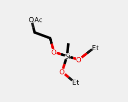 CCO[Si](C)(OCC)OCCOC(C)=O